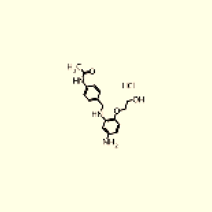 CC(=O)Nc1ccc(CNc2cc(N)ccc2OCCO)cc1.Cl